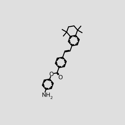 CC1(C)CCC(C)(C)c2cc(C=Cc3ccc(C(=O)Oc4ccc(N)cc4)cc3)ccc21